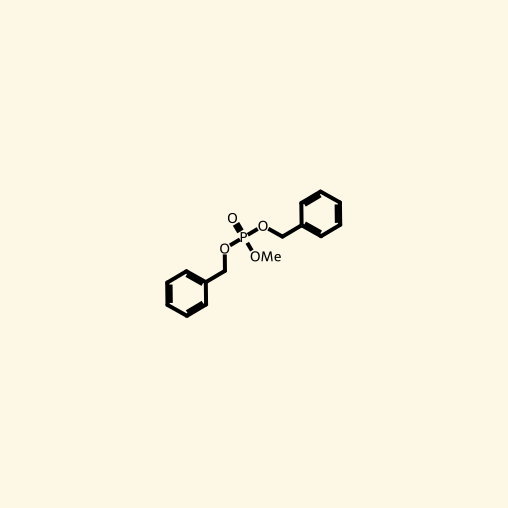 COP(=O)(OCc1ccccc1)OCc1ccccc1